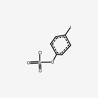 O=S(=O)(Cl)Oc1ccc(I)cc1